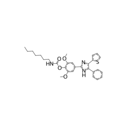 CCCCCCCNC(=O)Oc1c(OC)cc(-c2nc(-c3cccs3)c(-c3ccccc3)[nH]2)cc1OC